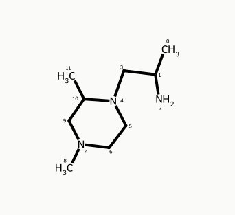 CC(N)CN1CCN(C)CC1C